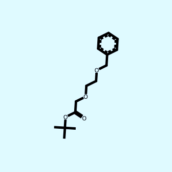 CC(C)(C)OC(=O)COCCOCc1ccccc1